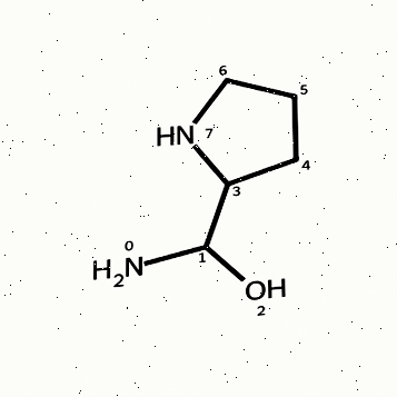 NC(O)C1CCCN1